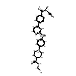 CN(C#N)C(=O)c1ccc(-c2ccnc(Nc3ccc(N4CCC(C(=O)SCF)CC4)cc3)n2)cc1